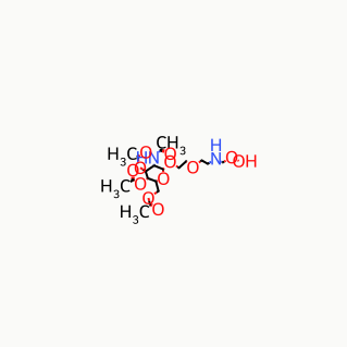 CC(=O)NC1C(OCCOCCNCOO)OC(COC(C)=O)C(OC(C)=O)C1OC(C)=O